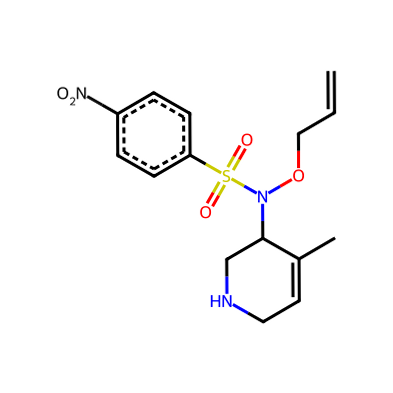 C=CCON(C1CNCC=C1C)S(=O)(=O)c1ccc([N+](=O)[O-])cc1